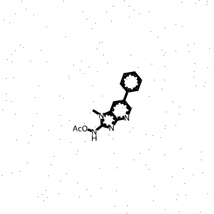 CC(=O)ONc1nc2ncc(-c3ccccc3)cc2n1C